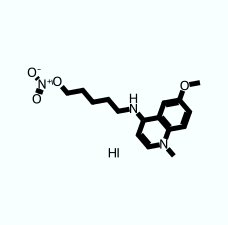 COc1ccc2c(c1)C(NCCCCCO[N+](=O)[O-])C=CN2C.I